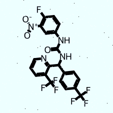 O=C(Nc1ccc(F)c([N+](=O)[O-])c1)NC(c1ccc(C(F)(F)F)cc1)c1ncccc1C(F)(F)F